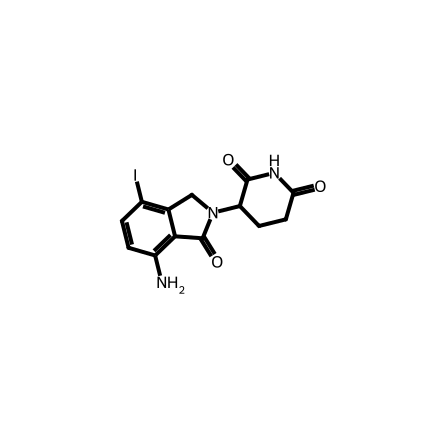 Nc1ccc(I)c2c1C(=O)N(C1CCC(=O)NC1=O)C2